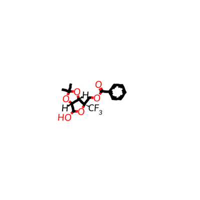 CC1(C)O[C@H]2C(O)O[C@@](COC(=O)c3ccccc3)(C(F)(F)F)[C@H]2O1